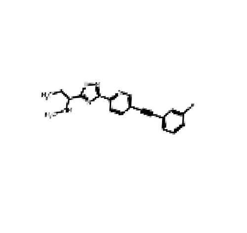 CCC(NC)c1nc(-c2ccc(C#Cc3cccc(F)c3)cn2)no1